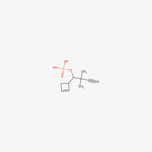 C#CC(C)(C)C(OP(=O)(O)O)C1C=CC1